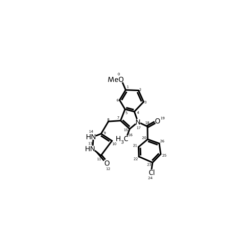 COc1ccc2c(c1)c(Cc1cc(=O)[nH][nH]1)c(C)n2C(=O)c1ccc(Cl)cc1